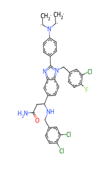 [CH2][CH]N([CH][CH2])c1ccc(-c2nc3cc(C(CC(N)=O)NCc4ccc(Cl)c(Cl)c4)ccc3n2Cc2ccc(F)c(Cl)c2)cc1